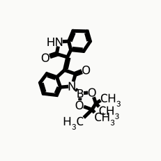 CC1(C)OB(N2C(=O)C(=C3C(=O)Nc4ccccc43)c3ccccc32)OC1(C)C